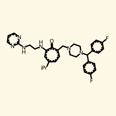 CC(C)c1ccc(CN2CCN(C(c3ccc(F)cc3)c3ccc(F)cc3)CC2)c(=O)c(NCCNc2ncccn2)c1